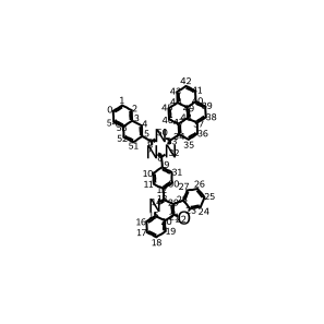 c1ccc2cc(-c3nc(-c4ccc(-c5nc6ccccc6c6oc7ccccc7c56)cc4)nc(-c4ccc5ccc6cccc7ccc4c5c67)n3)ccc2c1